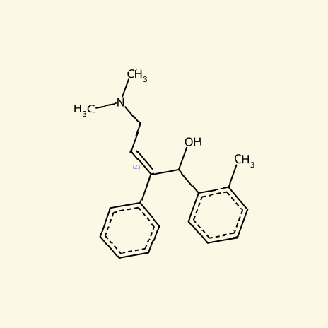 Cc1ccccc1C(O)/C(=C\CN(C)C)c1ccccc1